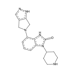 O=c1[nH]c2c(N3Cc4cn[nH]c4C3)cccc2n1C1CCNCC1